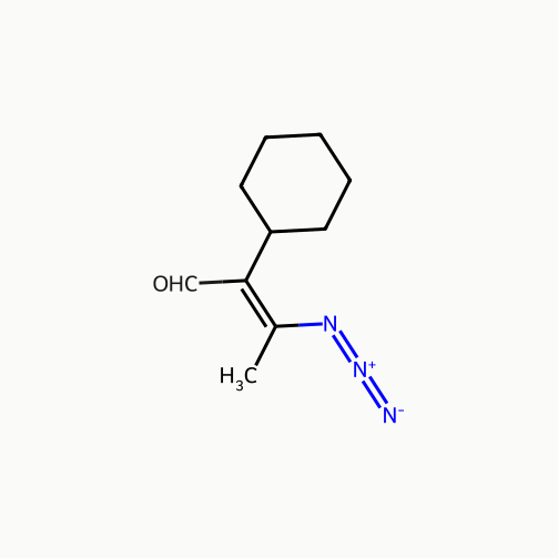 CC(N=[N+]=[N-])=C(C=O)C1CCCCC1